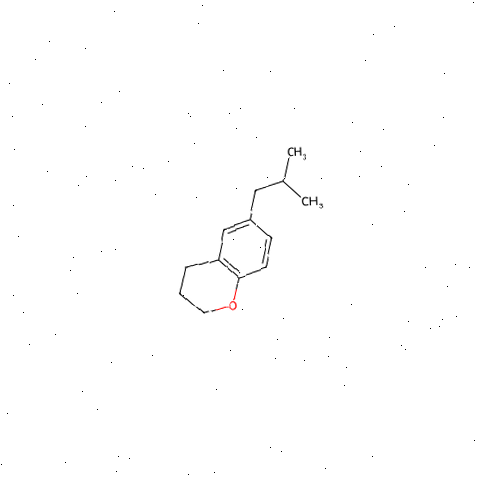 CC(C)Cc1ccc2c(c1)CCCO2